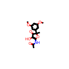 COc1cc(OC)cc(C2(C)OC(NC(C)=O)=C(O)C2=O)c1